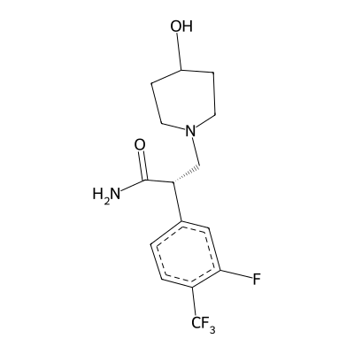 NC(=O)[C@H](CN1CCC(O)CC1)c1ccc(C(F)(F)F)c(F)c1